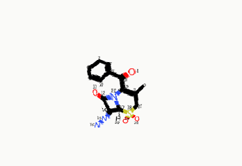 CC1=C(C(=O)c2ccccc2)N2C(=O)C(=[N+]=[N-])[C@@H]2S(=O)(=O)C1